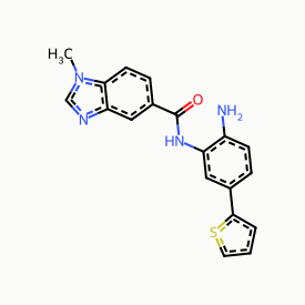 Cn1cnc2cc(C(=O)Nc3cc(-c4cccs4)ccc3N)ccc21